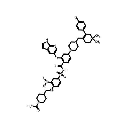 CC(=O)N1CCC(CNc2ccc(S(=O)(=O)NC(=O)c3ccc(N4CCN(CC5=C(c6ccc(Cl)cc6)CC(C)(C)CC5)CC4)cc3Oc3cnc4[nH]ccc4c3)cc2[N+](=O)[O-])CC1